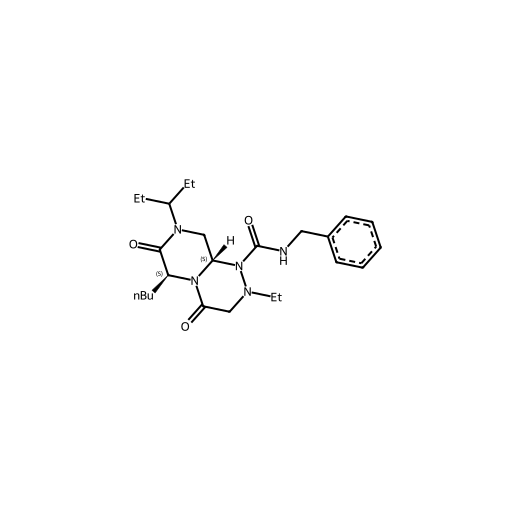 CCCC[C@H]1C(=O)N(C(CC)CC)C[C@H]2N1C(=O)CN(CC)N2C(=O)NCc1ccccc1